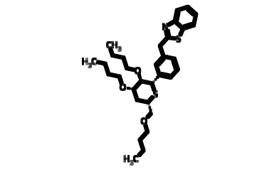 CCCCOC[C@@H]1C[C@H](OCCCC)[C@@H](OCCCC)[C@H](c2cccc(Cc3nc4ccccc4s3)c2)S1